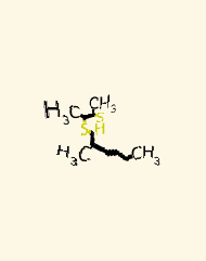 CCCC[C@H](C)CSC(C)[C@@H](C)S